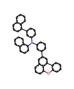 c1cc(-c2cc3c4c(cccc4c2)Oc2ccccc2-3)cc(N(c2cccc(-c3cccc4ccccc34)c2)c2cccc3ccccc23)c1